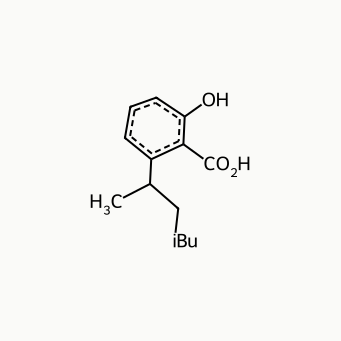 CCC(C)CC(C)c1cccc(O)c1C(=O)O